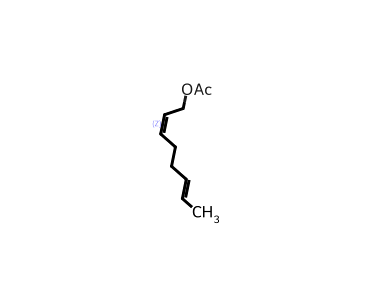 CC=CCC/C=C\COC(C)=O